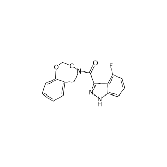 O=C(c1n[nH]c2cccc(F)c12)N1CCOc2ccccc2C1